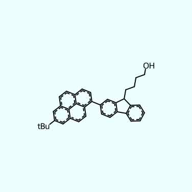 CC(C)(C)c1cc2ccc3ccc(-c4ccc5c(c4)C(CCCCO)c4ccccc4-5)c4ccc(c1)c2c34